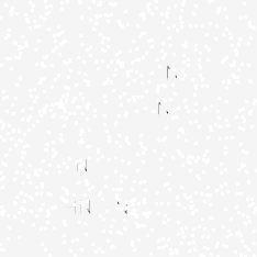 Cc1ccc(F)c(-c2nccn2CC(C)Cc2ccnc3[nH]cnc23)c1